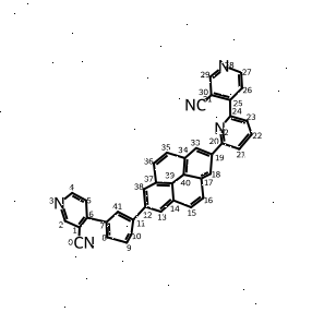 N#Cc1cnccc1-c1cccc(-c2cc3ccc4cc(-c5cccc(-c6ccncc6C#N)n5)cc5ccc(c2)c3c45)c1